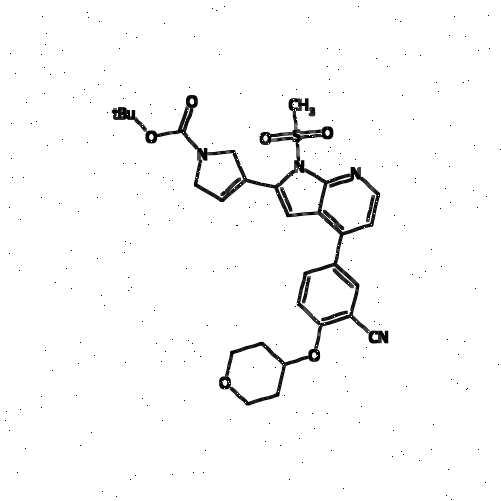 CC(C)(C)OC(=O)N1CC=C(c2cc3c(-c4ccc(OC5CCOCC5)c(C#N)c4)ccnc3n2S(C)(=O)=O)C1